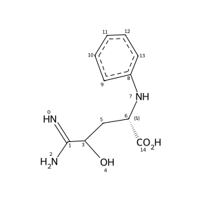 N=C(N)C(O)C[C@H](Nc1ccccc1)C(=O)O